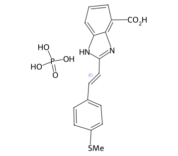 CSc1ccc(/C=C/c2nc3c(C(=O)O)cccc3[nH]2)cc1.O=P(O)(O)O